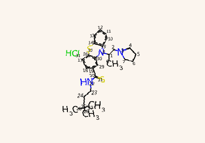 CC(CN1CCCC1)N1c2ccccc2Sc2ccc(C(=S)NCCC(C)(C)C)cc21.Cl